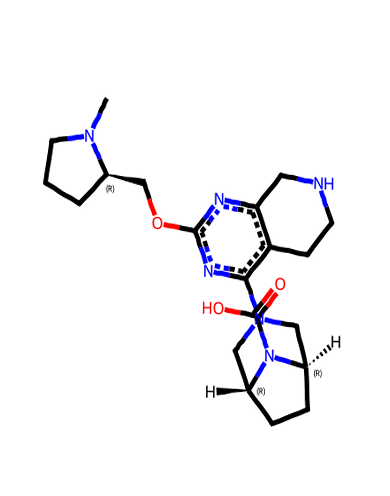 CN1CCC[C@@H]1COc1nc2c(c(N3C[C@H]4CC[C@H](C3)N4C(=O)O)n1)CCNC2